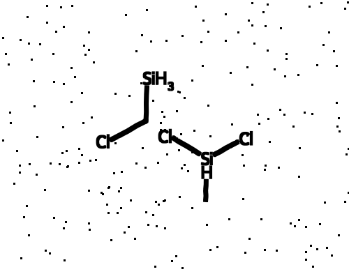 C[SiH](Cl)Cl.[SiH3]CCl